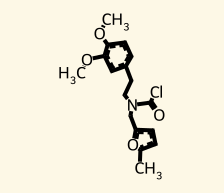 COc1ccc(CCN(Cc2ccc(C)o2)C(=O)Cl)cc1OC